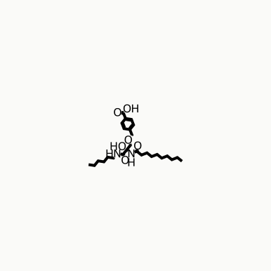 CCCCCCCCCC(=O)NC(O)(COCc1ccc(C(=O)O)cc1)C(=O)NCCCCCC